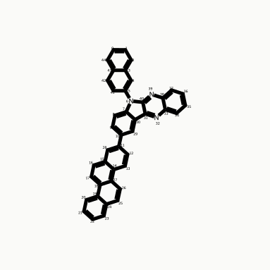 c1ccc2cc(-n3c4ccc(-c5ccc6c(ccc7c8ccccc8ccc67)c5)cc4c4nc5ccccc5nc43)ccc2c1